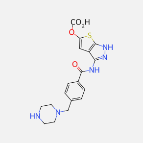 O=C(O)Oc1cc2c(NC(=O)c3ccc(CN4CCNCC4)cc3)n[nH]c2s1